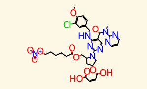 COc1ccc(CNc2nc(N3CCCC3COC(=O)CCCCCO[N+](=O)[O-])ncc2C(=O)N(C)c2ncccn2)cc1Cl.O=C(O)/C=C\C(=O)O